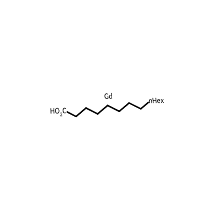 CCCCCCCCCCCCCC(=O)O.[Gd]